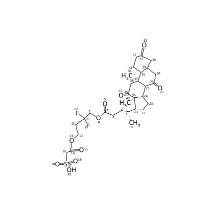 C[C@H](CCC(=O)OCC(F)(F)CCOC(=O)CS(=O)(=O)O)[C@H]1CCC2C3C(=O)CC4CC(=O)CC[C@]4(C)C3CC(=O)[C@@]21C